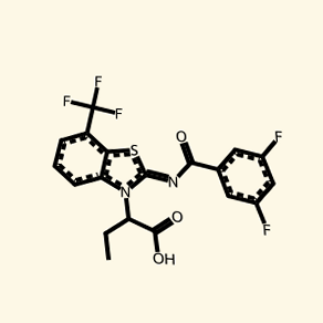 CCC(C(=O)O)n1c(=NC(=O)c2cc(F)cc(F)c2)sc2c(C(F)(F)F)cccc21